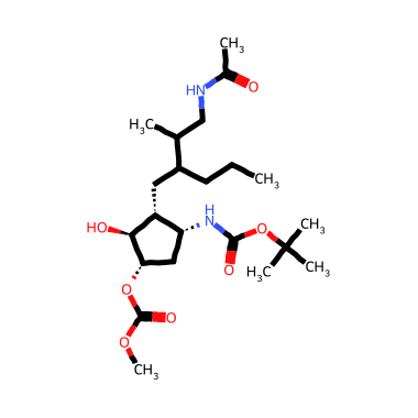 CCCC(C[C@H]1[C@H](O)[C@@H](OC(=O)OC)C[C@H]1NC(=O)OC(C)(C)C)C(C)CNC(C)=O